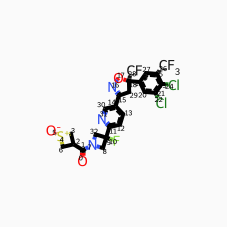 O=C(C1C[S+]([O-])C1)N1CC(F)(c2ccc(C3=NOC(c4cc(Cl)c(Cl)c(C(F)(F)F)c4)(C(F)(F)F)C3)cn2)C1